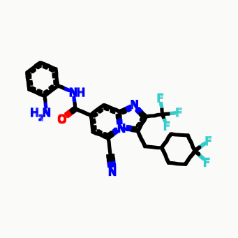 N#Cc1cc(C(=O)Nc2ccccc2N)cc2nc(C(F)(F)F)c(CC3CCC(F)(F)CC3)n12